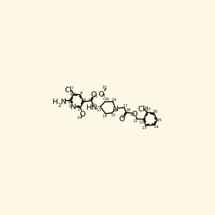 COc1nc(N)c(Cl)cc1C(=O)N[C@H]1CCN(CC(=O)OCc2ccccc2Cl)C[C@H]1OC